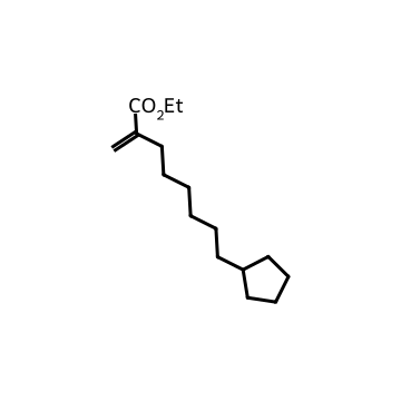 C=C(CCCCCCC1CCCC1)C(=O)OCC